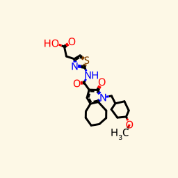 COC1CCC(Cn2c3c(cc(C(=O)Nc4nc(CC(=O)O)cs4)c2=O)CCCCCC3)CC1